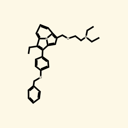 CCc1c(-c2ccc(OCc3ccccc3)cc2)c2cc(COCCN(CC)CC)c3cccc1n32